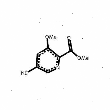 COC(=O)c1ncc(C#N)cc1OC